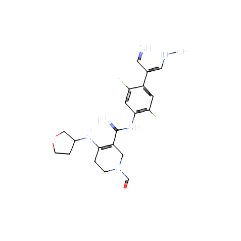 CN/C=C(\C=N)c1cc(F)c(NC(=N)C2=C(NC3CCOC3)CCN(C=O)C2)cc1F